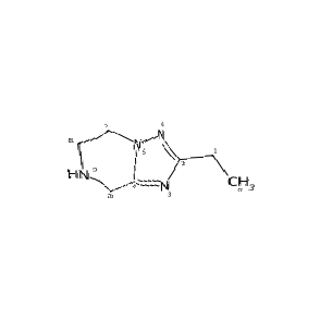 CCc1nc2n(n1)CCNC2